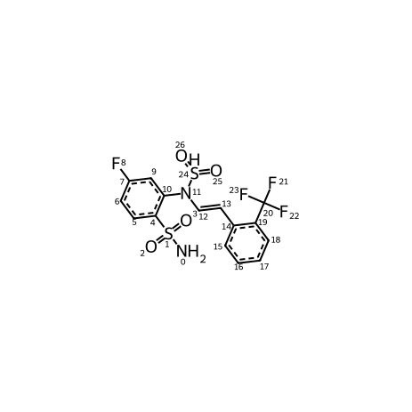 NS(=O)(=O)c1ccc(F)cc1N(C=Cc1ccccc1C(F)(F)F)[SH](=O)=O